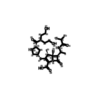 CC(NC(=O)C(F)F)[C@H]1C(=O)N2C(C(=O)O)=C(S[C@@H]3CN[C@H](C(=O)N(CCO)CCO)C3)[C@H](C)[C@H]12